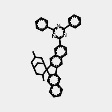 CC1CC2CC(C)C3(c4cc5ccccc5cc4-c4cc5ccc(-c6nc(-c7ccccc7)nc(-c7ccccc7)n6)cc5cc43)C(C1)C2